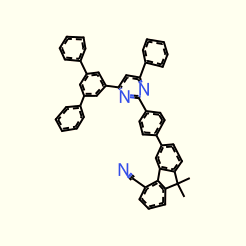 CC1(C)c2ccc(-c3ccc(-c4nc(-c5ccccc5)cc(-c5cc(-c6ccccc6)cc(-c6ccccc6)c5)n4)cc3)cc2-c2c(C#N)cccc21